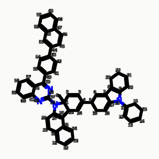 CC12C=CC(C3C=c4c5c(n(C6=CC=CCC6)c4=CC3)C=CCC5)=CC1c1c(ccc3ccccc13)N2c1nc(-c2ccc(-c3ccc4ccccc4c3)cc2)c2ccccc2n1